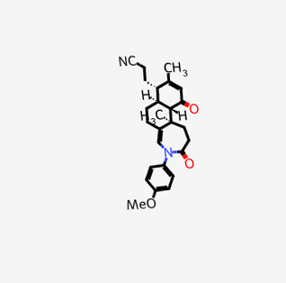 COc1ccc(N2C=C3CC[C@H]4[C@H](CCC#N)C(C)=CC(=O)[C@@H]4[C@@]3(C)CCC2=O)cc1